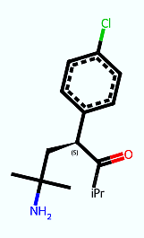 CC(C)C(=O)[C@@H](CC(C)(C)N)c1ccc(Cl)cc1